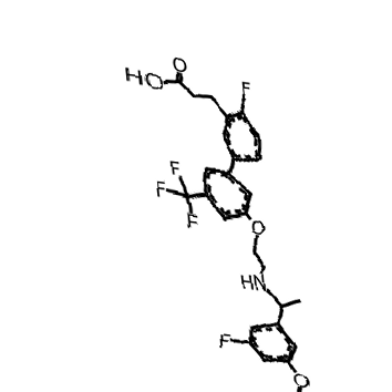 COc1cc(F)cc(C(C)NCCOc2cc(-c3ccc(F)c(CCC(=O)O)c3)cc(C(F)(F)F)c2)c1